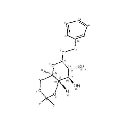 CC1(C)OC[C@H]2O[C@@H](OCc3ccccc3)[C@H](N)[C@@H](O)[C@@H]2O1